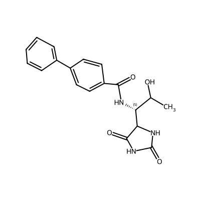 CC(O)[C@@H](NC(=O)c1ccc(-c2ccccc2)cc1)C1NC(=O)NC1=O